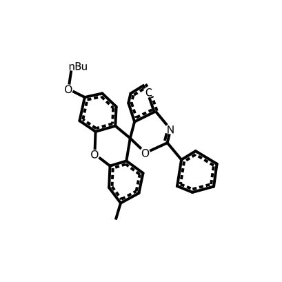 CCCCOc1ccc2c(c1)Oc1cc(C)ccc1C21OC(c2ccccc2)=Nc2ccccc21